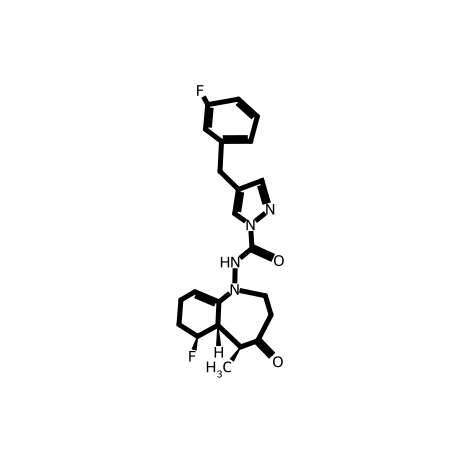 C[C@@H]1C(=O)CCN(NC(=O)n2cc(Cc3cccc(F)c3)cn2)C2=CCC[C@H](F)[C@H]21